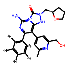 [2H]c1c([2H])c([2H])c(-c2nc(N)[n+]3c(=O)n(C[C@H]4CCCO4)[nH]c3c2-c2cc(C)nc(CO)c2)c([2H])c1[2H]